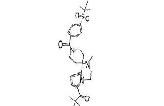 CN1CCn2c(C(=O)C3(C)CC3)ccc2C12CCN(C(=O)c1ccc(S(=O)(=O)C(C)(C)C)cc1)CC2